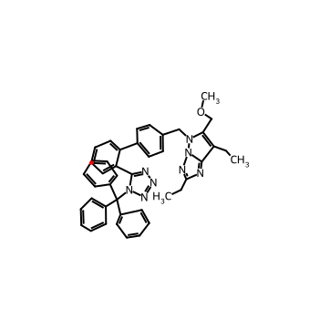 CCc1nc2c(CC)c(COC)n(Cc3ccc(-c4ccccc4-c4nnnn4C(c4ccccc4)(c4ccccc4)c4ccccc4)cc3)n2n1